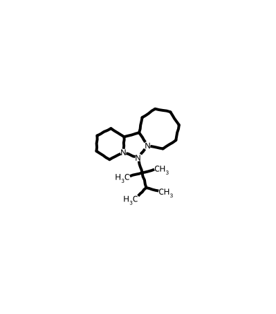 CC(C)C(C)(C)N1N2CCCCCCC2C2CCCCN21